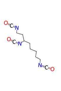 O=C=NCCCCCC(CCN=C=O)N=C=O